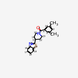 Cc1cc(C)cc(C(=O)N2CCC(c3nc4ccccc4s3)CC2)c1